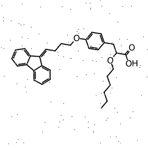 CCCCCCOC(Cc1ccc(OCCCC=C2c3ccccc3-c3ccccc32)cc1)C(=O)O